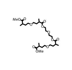 COC(=O)C(C)CCOCCC(C)C(=O)OCCOCCOC(=O)C(C)CCOCCC(C)C(=O)OC